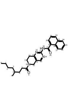 CCCCC(C)CCC(=O)N1CCc2nc(NC(=O)c3cccc4ccccc34)ncc2C1